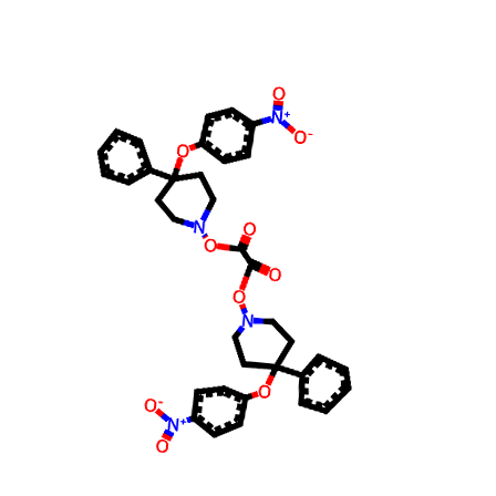 O=C(ON1CCC(Oc2ccc([N+](=O)[O-])cc2)(c2ccccc2)CC1)C(=O)ON1CCC(Oc2ccc([N+](=O)[O-])cc2)(c2ccccc2)CC1